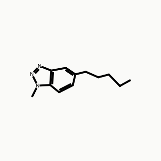 CCCCCc1ccc2c(c1)nnn2C